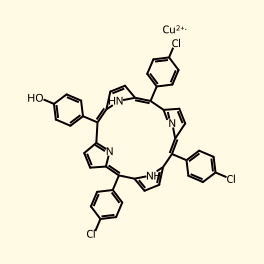 Oc1ccc(-c2c3nc(c(-c4ccc(Cl)cc4)c4ccc([nH]4)c(-c4ccc(Cl)cc4)c4nc(c(-c5ccc(Cl)cc5)c5ccc2[nH]5)C=C4)C=C3)cc1.[Cu+2]